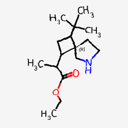 CCOC(=O)C(C)C1CC(C(C)(C)C)[C@@]12CCNC2